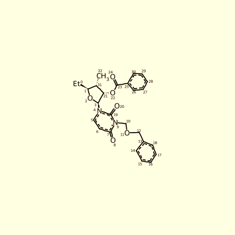 CC[C@@H]1O[C@H](n2ccc(=O)n(COCc3ccccc3)c2=O)[C@@H](OC(=O)c2ccccc2)[C@H]1C